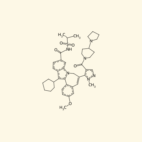 COc1ccc2c(c1)C=C(c1c(C(=O)N3CCC(N4CCCC4)CC3)cnn1C)Cn1c-2c(C2CCCCC2)c2ccc(C(=O)NS(=O)(=O)C(C)C)cc21